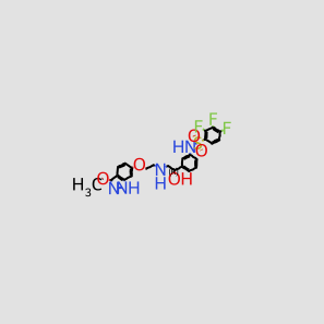 COc1n[nH]c2cc(OCCNC[C@H](O)c3cccc(NS(=O)(=O)c4ccc(F)c(F)c4F)c3)ccc12